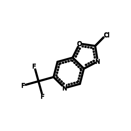 FC(F)(F)c1cc2oc(Cl)nc2cn1